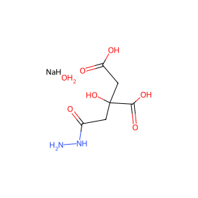 NNC(=O)CC(O)(CC(=O)O)C(=O)O.O.[NaH]